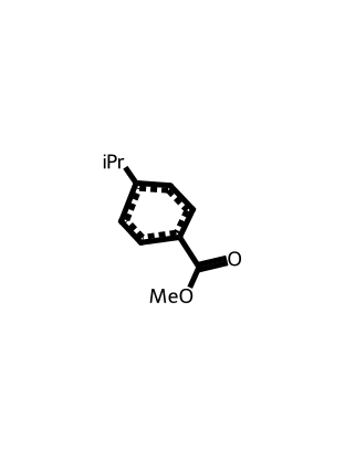 COC(=O)c1ccc(C(C)C)cc1